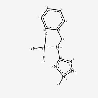 Cn1nnc(N(Cc2ccccc2)C(F)(F)F)n1